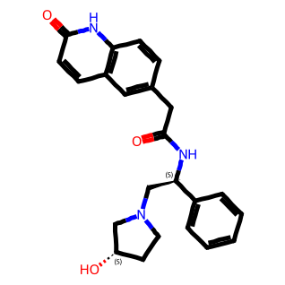 O=C(Cc1ccc2[nH]c(=O)ccc2c1)N[C@H](CN1CC[C@H](O)C1)c1ccccc1